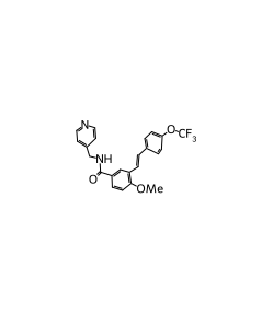 COc1ccc(C(=O)NCc2ccncc2)cc1/C=C/c1ccc(OC(F)(F)F)cc1